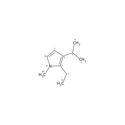 CCc1c(C(C)C)ccn1C